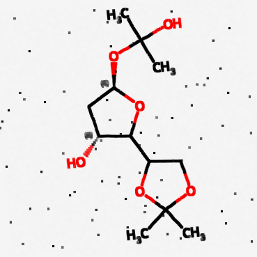 CC(C)(O)O[C@@H]1C[C@@H](O)C(C2COC(C)(C)O2)O1